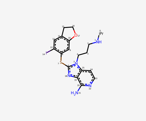 CC(C)NCCCn1c(Sc2cc3c(cc2I)CCO3)nc2c(N)nccc21